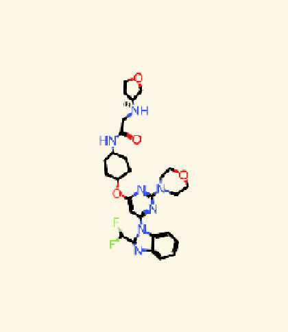 O=C(CN[C@@H]1CCOC1)N[C@H]1CC[C@H](Oc2cc(-n3c(C(F)F)nc4ccccc43)nc(N3CCOCC3)n2)CC1